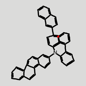 c1ccc(-c2ccccc2N(c2ccc(-c3ccc4ccccc4c3)cc2)c2ccc3c(ccc4c5ccccc5ccc34)c2)cc1